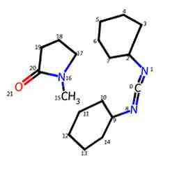 C(=NC1CCCCC1)=NC1CCCCC1.CN1CCCC1=O